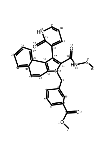 COC(=O)c1cccc(Cn2c(C(=O)NSC)c(-c3ccc[nH]c3=O)c3c4ccccc4ccc32)c1